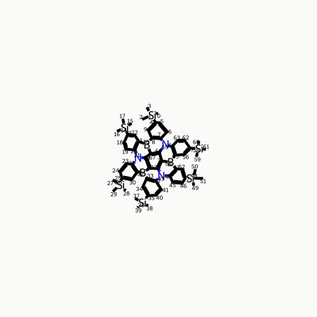 C[Si](C)(C)c1ccc2c(c1)B1c3cc([Si](C)(C)C)ccc3N3c4ccc([Si](C)(C)C)cc4B4c5cc([Si](C)(C)C)ccc5N5c6ccc([Si](C)(C)C)cc6B6c7cc([Si](C)(C)C)ccc7N2c2c1c3c4c5c26